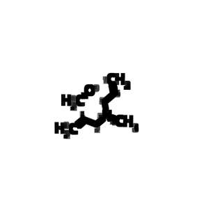 C=CCN(C)CC=C.C=O